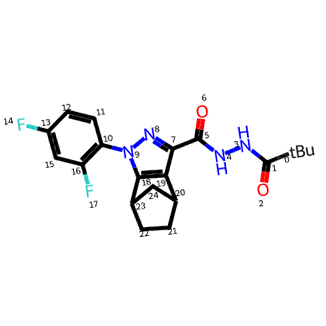 CC(C)(C)C(=O)NNC(=O)c1nn(-c2ccc(F)cc2F)c2c1C1CCC2C1